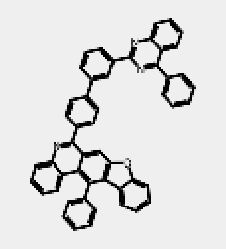 c1ccc(-c2nc(-c3cccc(-c4ccc(-c5nc6ccccc6c6c(-c7ccccc7)c7c(cc56)oc5ccccc57)cc4)c3)nc3ccccc23)cc1